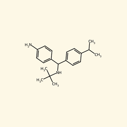 CC(C)c1ccc(C(NC(C)(C)C)c2ccc(N)cc2)cc1